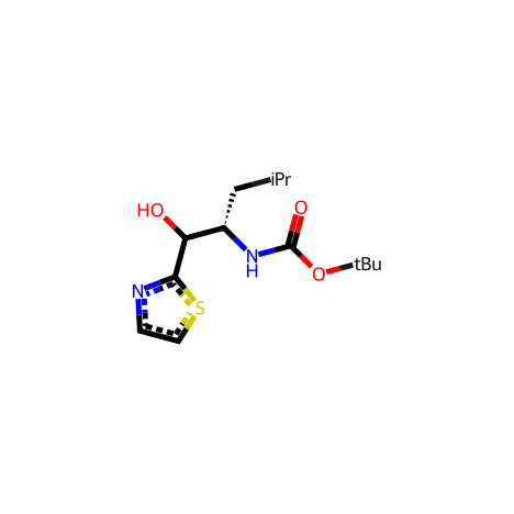 CC(C)C[C@H](NC(=O)OC(C)(C)C)C(O)c1nccs1